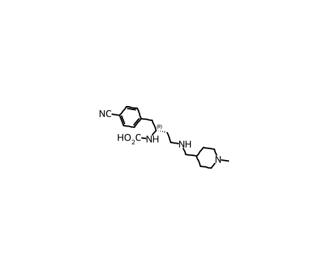 CN1CCC(CNCC[C@@H](Cc2ccc(C#N)cc2)NC(=O)O)CC1